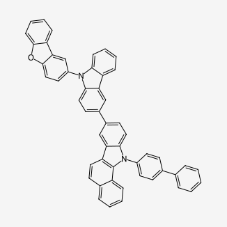 c1ccc(-c2ccc(-n3c4ccc(-c5ccc6c(c5)c5ccccc5n6-c5ccc6oc7ccccc7c6c5)cc4c4ccc5ccccc5c43)cc2)cc1